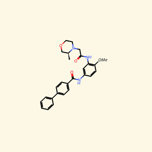 COc1ccc(NC(=O)c2ccc(-c3ccccc3)cc2)cc1NC(=O)CN1CCOC[C@@H]1C